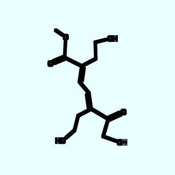 COC(=O)/C(=C/C=C(\CCO)C(=O)CO)CCO